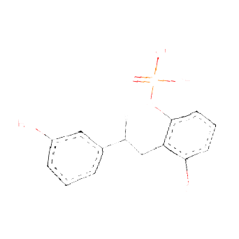 CCC(Cc1c(O)cccc1OP(=O)(O)O)c1cccc(O)c1